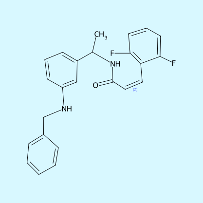 CC(NC(=O)/C=C\c1c(F)cccc1F)c1cccc(NCc2ccccc2)c1